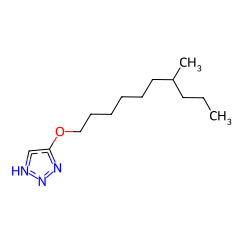 CCCC(C)CCCCCCOc1c[nH]nn1